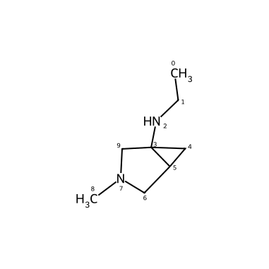 CCNC12CC1CN(C)C2